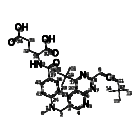 CN(Cc1cnc2nc(C=C=CC(C)(C)C)nc(C(C)(C)C)c2c1)c1ccc(C(=O)NC(CCC(=O)O)C(=O)O)cc1